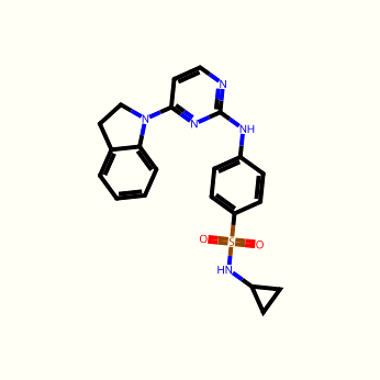 O=S(=O)(NC1CC1)c1ccc(Nc2nccc(N3CCc4ccccc43)n2)cc1